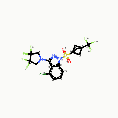 O=S(=O)(n1nc(N2CC(F)(F)C(F)(F)C2)c2c(Cl)cccc21)C12CC(C(F)(F)F)(C1)C2